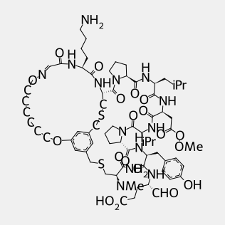 CN[C@@H](CSCc1cc2cc(c1)OCCCCCCO/N=C/C(=O)N[C@@H](CCCCN)C(=O)N[C@H](C(=O)N1CCC[C@H]1C(=O)N[C@@H](CC(C)C)C(=O)N[C@@H](CC(=O)OOC)C(=O)NC(C(=O)N1CCC[C@H]1C(=O)N[C@@H](Cc1ccc(O)cc1)C(=O)N[C@H](C=O)CCC(=O)O)C(C)C)CSC2)C(N)=O